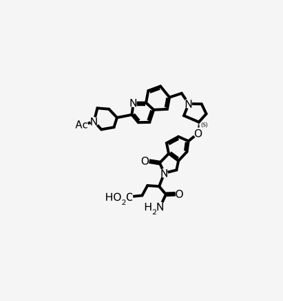 CC(=O)N1CCC(c2ccc3cc(CN4CC[C@H](Oc5ccc6c(c5)CN(C(CCC(=O)O)C(N)=O)C6=O)C4)ccc3n2)CC1